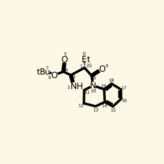 CC[C@@H](C(=N)C(=O)OC(C)(C)C)C(=O)N1CCCc2ccccc21